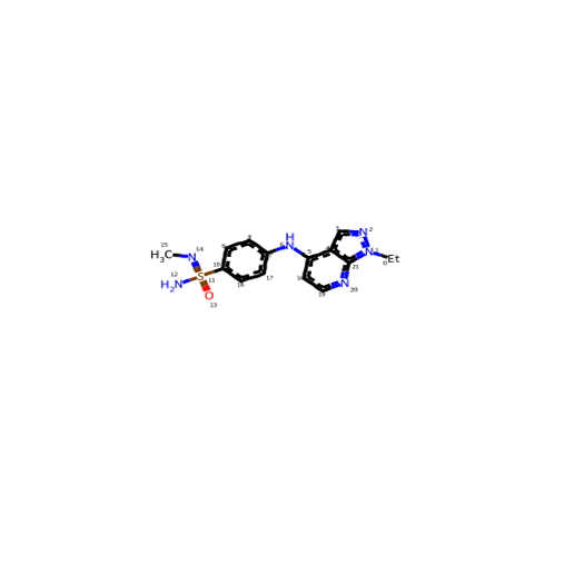 CCn1ncc2c(Nc3ccc(S(N)(=O)=NC)cc3)ccnc21